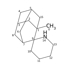 CC12CC3CC(CC(C3)C13CCCCN3)C2